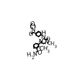 Cc1c(C(N)=O)cccc1-c1cn(C)c(=O)c(Nc2ccc(C(=O)N3CCOCC3)cc2)n1